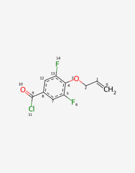 C=CCOc1c(F)cc(C(=O)Cl)cc1F